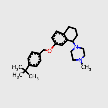 CN1CCN(C2CCCc3ccc(OCc4ccc(C(C)(C)C)cc4)cc32)CC1